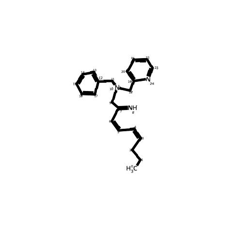 CCC/C=C\C=C/C(=N)CN(Cc1ccccc1)Cc1ccccn1